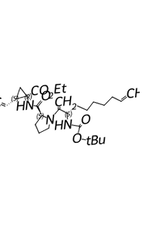 C=CCCCCC[C@H](NC(=O)OC(C)(C)C)C(=C)N1CCC[C@H]1C(=O)N[C@]1(C(=O)OCC)C[C@H]1C=C